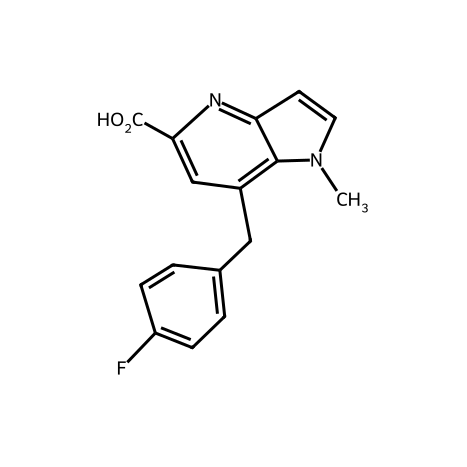 Cn1ccc2nc(C(=O)O)cc(Cc3ccc(F)cc3)c21